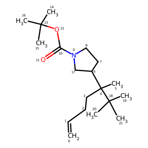 C=CCCC(C)(C1CCN(C(=O)OC(C)(C)C)C1)C(C)(C)C